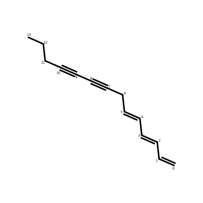 C=CC=CC=CCC#CC#CCCC